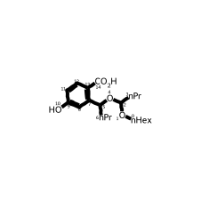 CCCCCCOC(CCC)OC(CCC)c1cc(O)ccc1C(=O)O